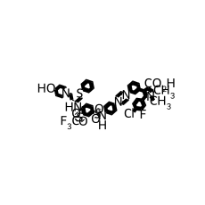 Cc1c(C(=O)O)c(-c2cccc(N3CCN(c4ccc(NS(=O)(=O)c5ccc(N[C@H](CCN6CCC(O)CC6)CSc6ccccc6)c(S(=O)(=O)C(F)(F)F)c5)cc4)CC3)c2)c(-c2ccc(Cl)c(F)c2)n1C